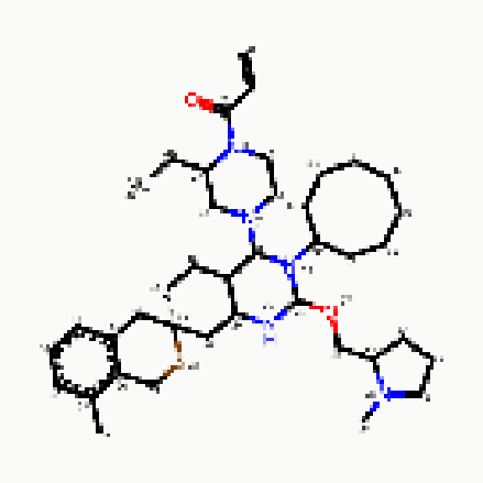 C=CC(=O)N1CCN(C2C3CC[C@]4(Cc5cccc(C)c5CS4)CC3NC(OCC3CCCN3C)N2C2CCCCCCC2)CC1CC#N